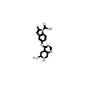 CC1Cc2c(ncnc2Oc2ccc3c(c2)cc(I)n3C(=O)O)CN1